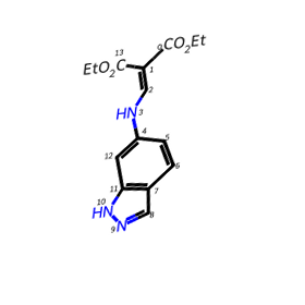 CCOC(=O)C(=CNc1ccc2cn[nH]c2c1)C(=O)OCC